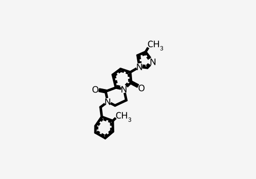 Cc1cn(-c2ccc3n(c2=O)CCN(Cc2ccccc2C)C3=O)cn1